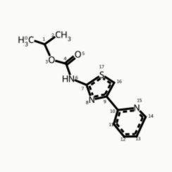 CC(C)OC(=O)Nc1nc(-c2ccccn2)cs1